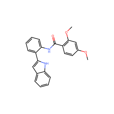 COc1ccc(C(=O)Nc2ccccc2-c2cc3ccccc3[nH]2)c(OC)c1